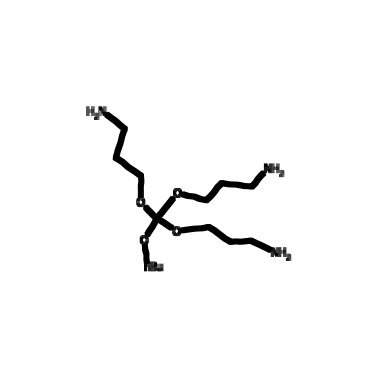 CCCCOC(OCCCN)(OCCCN)OCCCN